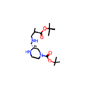 CC(CNC[C@@H]1CN(C(=O)OC(C)(C)C)CCN1)C(=O)OC(C)(C)C